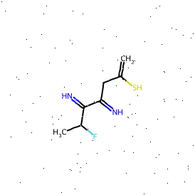 C=C(S)CC(=N)C(=N)C(C)F